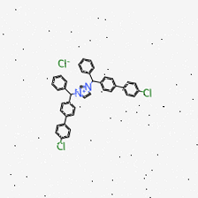 Clc1ccc(-c2ccc(C(c3ccccc3)n3cc[n+](C(c4ccccc4)c4ccc(-c5ccc(Cl)cc5)cc4)c3)cc2)cc1.[Cl-]